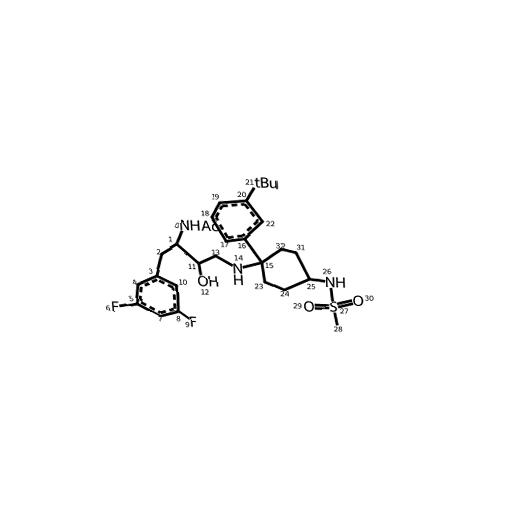 CC(=O)NC(Cc1cc(F)cc(F)c1)C(O)CNC1(c2cccc(C(C)(C)C)c2)CCC(NS(C)(=O)=O)CC1